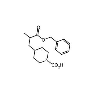 CC(CC1CCN(C(=O)O)CC1)C(=O)OCc1ccccc1